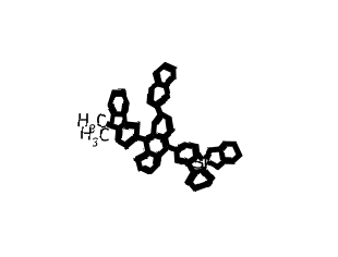 CC1(C)c2ccccc2-c2cc(-c3c4ccccc4c(-c4ccc5c(c4)-c4ccccc4[Si]54Cc5ccccc5C4)c4ccc(-c5ccc6ccccc6c5)cc34)ccc21